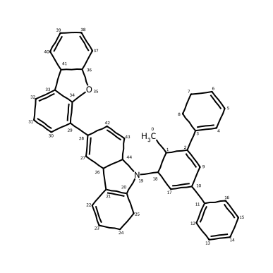 CC1C(C2=CC=CCC2)=CC(c2ccccc2)=CC1N1C2=C(C=CCC2)C2C=C(c3cccc4c3OC3C=CC=CC43)C=CC21